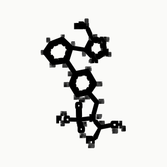 CCCCn1nnnc1-c1ccccc1-c1ccc(CN([C@@H](C)C(C)C)S(=O)(=O)C(F)(F)F)cc1